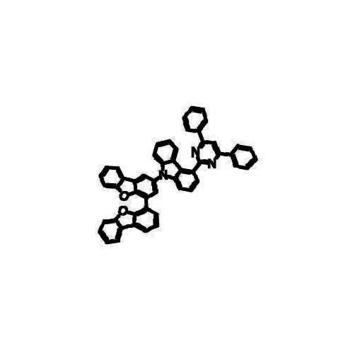 c1ccc(-c2cc(-c3ccccc3)nc(-c3cccc4c3c3ccccc3n4-c3cc(-c4cccc5c4oc4ccccc45)c4oc5ccccc5c4c3)n2)cc1